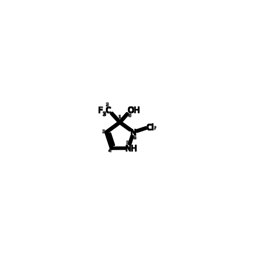 OC1(C(F)(F)F)C=CNN1Cl